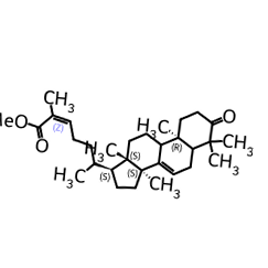 COC(=O)/C(C)=C\CCC(C)[C@@H]1CC[C@]2(C)C3=CCC4C(C)(C)C(=O)CC[C@]4(C)C3CC[C@@]12C